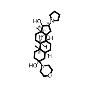 C[C@]12CC[C@](O)(N3CCOCC3)C[C@@H]1CC[C@@H]1[C@@H]2CC[C@]2(C)[C@@H](O)[C@@H](N3CCCC3)C[C@@H]12